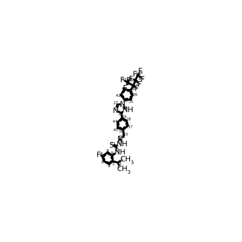 CC(C)c1ccc(F)cc1NC(=S)N/N=C/c1ccc(C2N=CN(c3ccc(C(F)(C(F)(F)F)C(F)(F)C(F)(F)F)cc3)N2)cc1